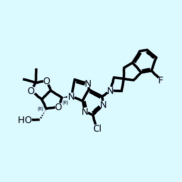 CC1(C)OC2C(O1)[C@@H](CO)O[C@H]2n1cnc2c(N3CC4(Cc5cccc(F)c5C4)C3)nc(Cl)nc21